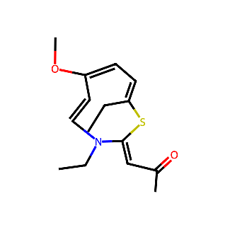 CC\C1=C/C=C(OC)\C=C\N(CC)/C(=C/C(C)=O)S1